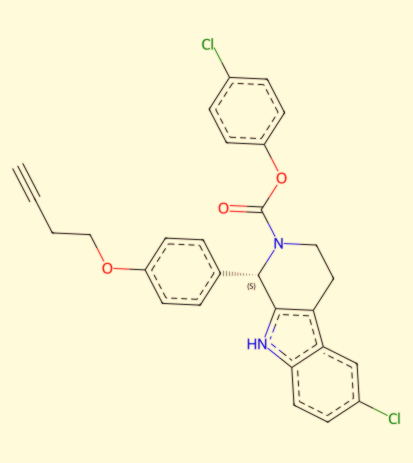 C#CCCOc1ccc([C@H]2c3[nH]c4ccc(Cl)cc4c3CCN2C(=O)Oc2ccc(Cl)cc2)cc1